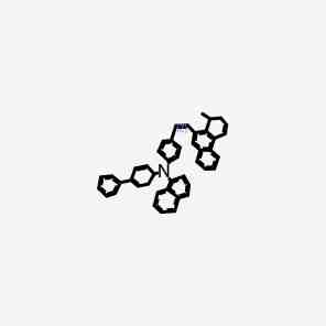 CC1CC=Cc2c1c(/C=C\c1ccc(N(c3cccc4ccccc34)C3C=CC(c4ccccc4)=CC3)cc1)cc1ccccc21